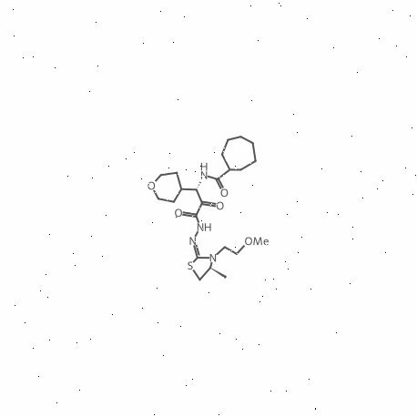 COCCN1C(=NNC(=O)C(=O)[C@@H](NC(=O)C2CCCCCC2)C2CCOCC2)SC[C@@H]1C